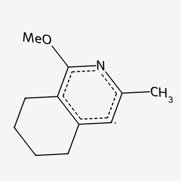 COc1nc(C)[c]c2c1CCCC2